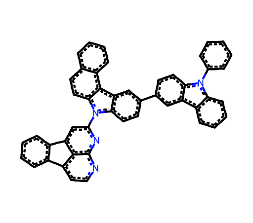 c1ccc(-n2c3ccccc3c3cc(-c4ccc5c(c4)c4c6ccccc6ccc4n5-c4cc5c6c(ccnc6n4)-c4ccccc4-5)ccc32)cc1